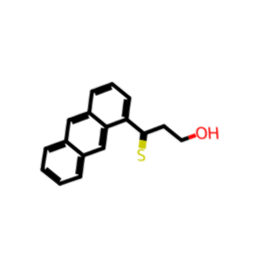 OCCC(=S)c1cccc2cc3ccccc3cc12